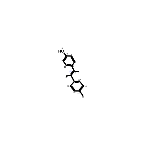 C/C(=C(/C)c1ccc(O)cc1)c1ccc(C)cc1